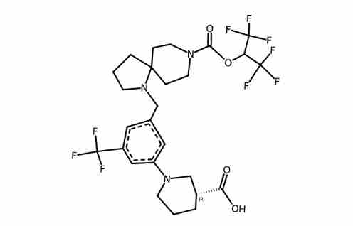 O=C(O)[C@@H]1CCCN(c2cc(CN3CCCC34CCN(C(=O)OC(C(F)(F)F)C(F)(F)F)CC4)cc(C(F)(F)F)c2)C1